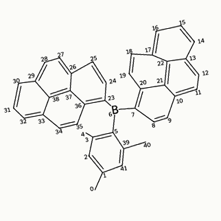 Cc1cc(C)c(B(c2ccc3ccc4cccc5ccc2c3c45)c2ccc3ccc4cccc5ccc2c3c45)c(C)c1